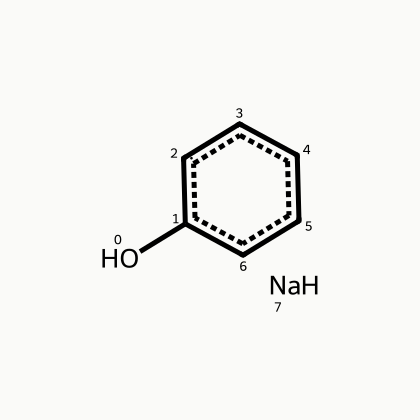 Oc1[c]cccc1.[NaH]